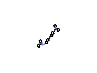 C1=CC/C(=C(/C=C/c2ccc3cc(/C=C/c4ccc5cc(CNN=C(c6ccccc6)c6ccccc6)ccc5c4)ccc3c2)c2ccccc2)C=C1